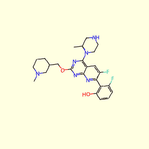 CC1CNCCN1c1nc(OCC2CCCN(C)C2)nc2nc(-c3c(O)cccc3F)c(F)cc12